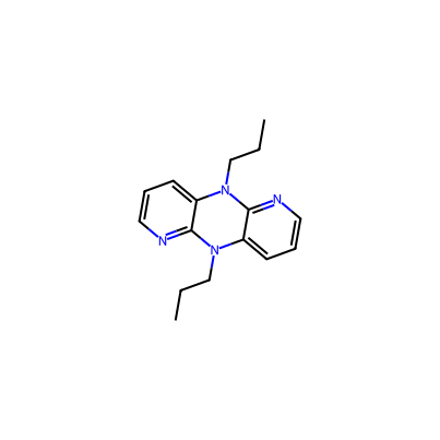 CCCN1c2cccnc2N(CCC)c2cccnc21